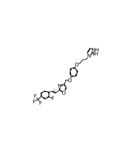 Fc1cc(C(F)(F)F)ccc1/C=C/c1nc(COc2ccc(OCCCN3C=CNN3)cc2)co1